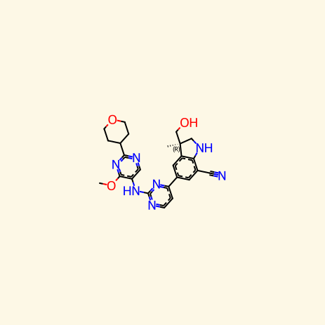 COc1nc(C2CCOCC2)ncc1Nc1nccc(-c2cc(C#N)c3c(c2)[C@@](C)(CO)CN3)n1